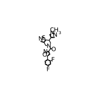 Cn1cc(C2CN(C(=O)c3cc(-c4ccc(F)cc4F)on3)Cc3cnsc32)cn1